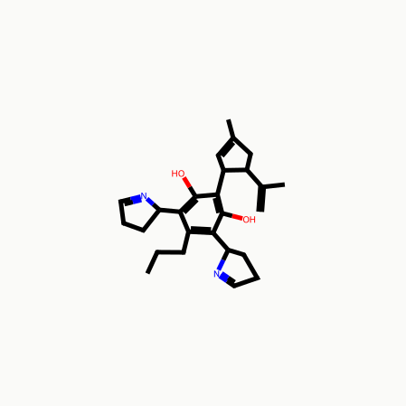 C=C(C)C1CC(C)=CC1c1c(O)c(C2CCC=N2)c(CCC)c(C2CCC=N2)c1O